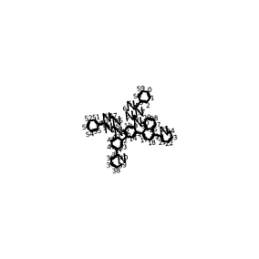 c1ccc(-c2ncnc(N3c4cc5c(cc4-c4ccc(-c6ccccn6)c6cccc3c46)c3cc(-c4ccccn4)ccc3n5-c3ncnc(-c4ccccc4)n3)n2)cc1